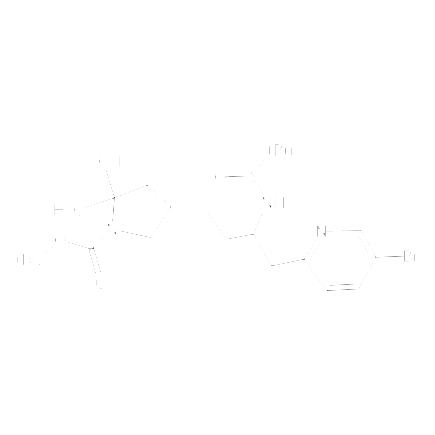 CC(C)(C)OC(=O)N1C[C@@H](CCC(Cc2ccc(Br)cn2)N[S+]([O-])C(C)(C)C)CC1(C)C